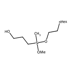 CCCCCCCCO[Si](C)(CCCO)OC